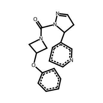 O=C(N1CC(Oc2ccccc2)C1)N1N=CCC1c1cccnc1